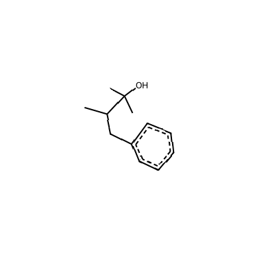 CC(Cc1ccccc1)C(C)(C)O